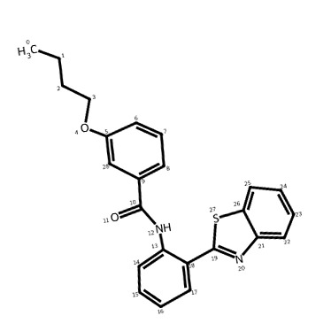 CCCCOc1cccc(C(=O)Nc2ccccc2-c2nc3ccccc3s2)c1